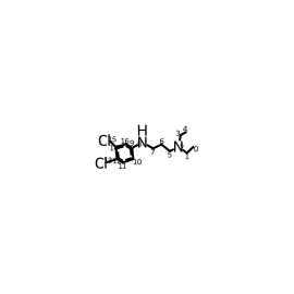 CCN(CC)CCCNc1ccc(Cl)c(Cl)c1